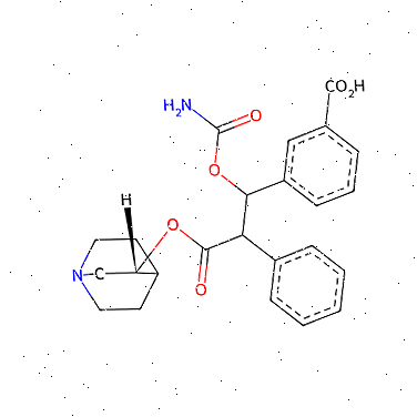 NC(=O)OC(c1cccc(C(=O)O)c1)C(C(=O)O[C@H]1CN2CCC1CC2)c1ccccc1